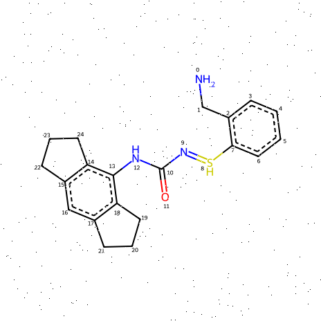 NCc1ccccc1/[SH]=N/C(=O)Nc1c2c(cc3c1CCC3)CCC2